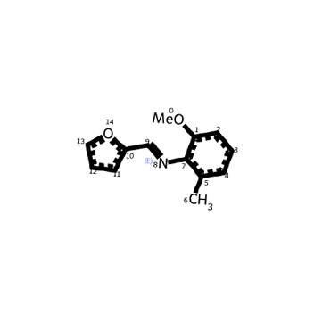 COc1cccc(C)c1/N=C/c1ccco1